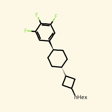 CCCCCCC1CC([C@H]2CC[C@H](c3cc(F)c(F)c(F)c3)CC2)C1